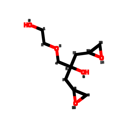 OCCOCC(O)(CC1CO1)CC1CO1